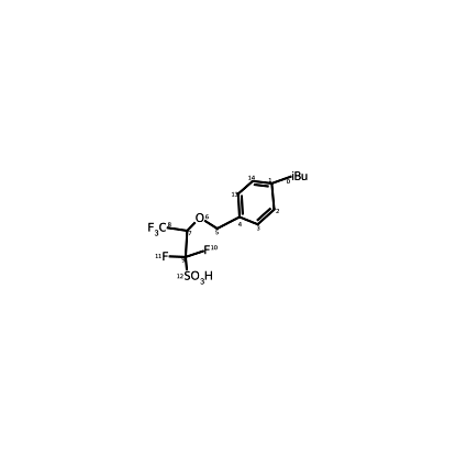 CCC(C)c1ccc(COC(C(F)(F)F)C(F)(F)S(=O)(=O)O)cc1